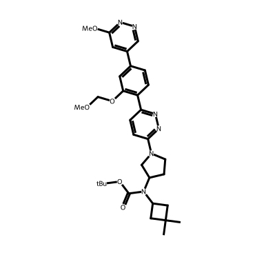 COCOc1cc(-c2cnnc(OC)c2)ccc1-c1ccc(N2CCC(N(C(=O)OC(C)(C)C)C3CC(C)(C)C3)C2)nn1